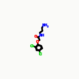 NCCCNC(=O)COc1ccc(Cl)cc1Cl